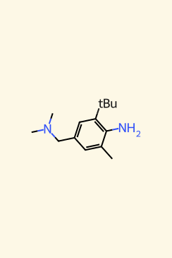 Cc1cc(CN(C)C)cc(C(C)(C)C)c1N